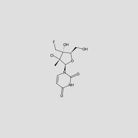 C[C@]1(Cl)[C@H](n2ccc(=O)[nH]c2=O)O[C@H](CO)[C@]1(O)CF